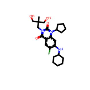 CC(CO)(CO)Cn1c(=O)c2cc(F)c(NC3CCCCC3)cc2n(C2CCCC2)c1=O